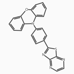 c1ccc2c(c1)Oc1ccccc1N2c1ccc(-c2nc3nccnc3s2)cc1